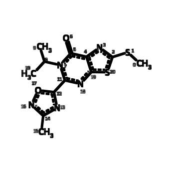 CSc1nc2c(=O)n(C(C)C)c(-c3nc(C)no3)nc2s1